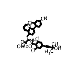 COC(=O)[C@H](Cc1ccc(-c2ccc(C#N)cc2Cl)c2ncccc12)NC(=O)c1c(Cl)cc(C#CC(C)(C)O)cc1Cl